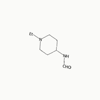 CCN1CCC(NC=O)CC1